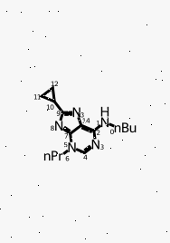 CCCCNc1ncn(CCC)c2nc(C3CC3)nc1-2